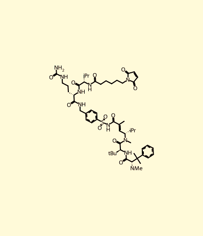 CN[C@H](C(=O)N[C@H](C(=O)N(C)[C@H](C=C(C)C(=O)NS(=O)(=O)c1ccc(CNC(=O)[C@H](CCCNC(N)=O)NC(=O)[C@@H](NC(=O)CCCCCN2C(=O)C=CC2=O)C(C)C)cc1)C(C)C)C(C)(C)C)C(C)(C)c1ccccc1